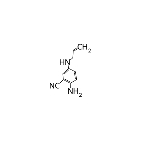 C=CCNc1ccc(N)c(C#N)c1